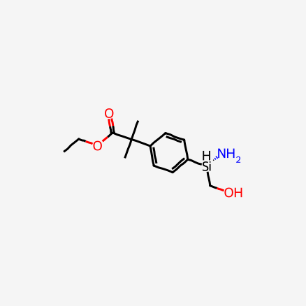 CCOC(=O)C(C)(C)c1ccc([Si@H](N)CO)cc1